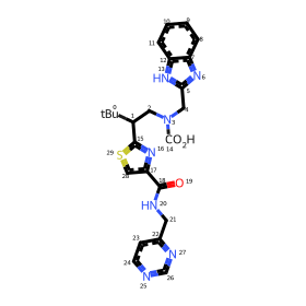 CC(C)(C)C(CN(Cc1nc2ccccc2[nH]1)C(=O)O)c1nc(C(=O)NCc2ccncn2)cs1